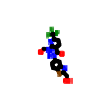 O=CNc1nc(C(F)(F)F)ccc1C(=O)Nc1ccc2sc(CO)nc2c1